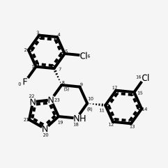 Fc1cccc(Cl)c1[C@@H]1C[C@H](c2cccc(Cl)c2)Nc2ncnn21